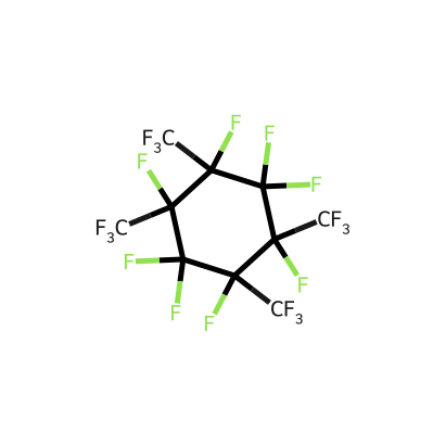 FC(F)(F)C1(F)C(F)(F)C(F)(C(F)(F)F)C(F)(C(F)(F)F)C(F)(F)C1(F)C(F)(F)F